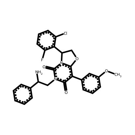 COc1cccc(-c2c3n(c(=O)n(CC(N)c4ccccc4)c2=O)C(c2c(F)cccc2Cl)CO3)c1